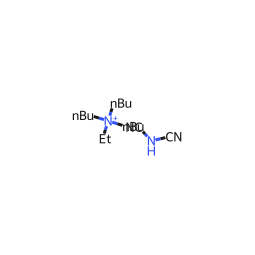 CCCC[N+](CC)(CCCC)CCCC.N#CNC#N